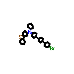 Brc1ccc(-c2ccc(-c3ccc(N(c4ccccc4)c4ccc5sc6ccccc6c5c4)cc3)cc2)cc1